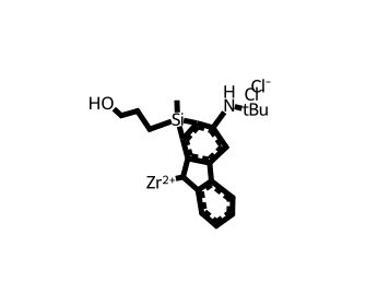 CC(C)(C)Nc1cc2c(c3c1[Si]3(C)CCCO)[CH]([Zr+2])c1ccccc1-2.[Cl-].[Cl-]